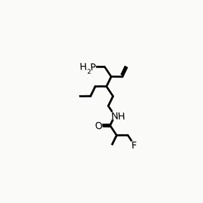 C=CC(CP)C(CCC)CCNC(=O)C(C)CF